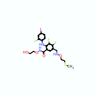 CSCCONCc1cc(C(=O)NOCCO)c(Nc2ccc(I)cc2F)c(F)c1F